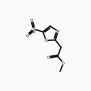 COC(=O)Cc1ncc([SH](=O)=O)o1